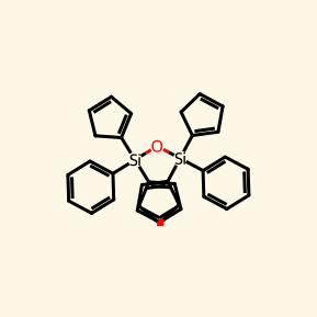 C1=CCC([Si](O[Si](C2=CC=CC2)(C2=CC=CC2)c2ccccc2)(C2=CC=CC2)c2ccccc2)=C1